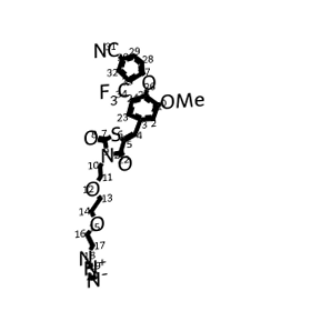 COc1cc(/C=C2\SC(=O)N(CCOCCOCCN=[N+]=[N-])C2=O)ccc1Oc1ccc(C#N)cc1C(F)(F)F